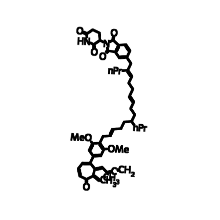 C=C=C(C)/C=c1/c(-c2cc(OC)c(C/C=C/CCC(CCC)CC/C=C/CC/C=C(\CCC)Cc3ccc4c(c3)C(=O)N(C3CCC(=O)NC3=O)C4=O)c(OC)c2)cccc(=O)/c1=C/C